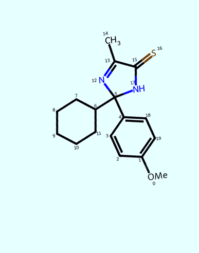 COc1ccc(C2(C3CCCCC3)N=C(C)C(=S)N2)cc1